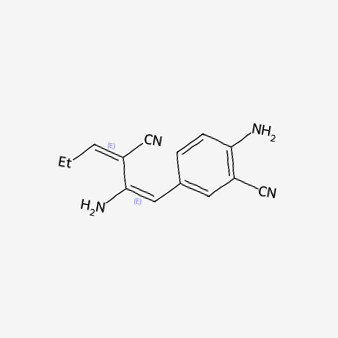 CC/C=C(C#N)\C(N)=C/c1ccc(N)c(C#N)c1